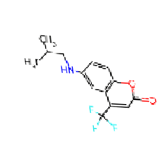 CC(C)CNc1ccc2oc(=O)cc(C(F)(F)F)c2c1